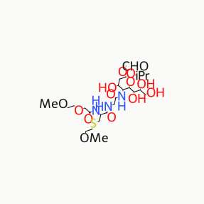 COCCOCC(=O)NC(CSCCOC)C(=O)NCC(=O)NC1C(O)CC(OC=O)(OC(C)C)OC1C(O)C(O)CO